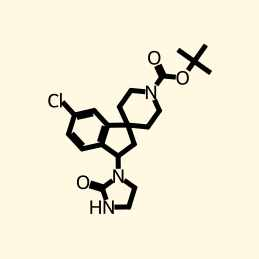 CC(C)(C)OC(=O)N1CCC2(CC1)CC(N1CCNC1=O)c1ccc(Cl)cc12